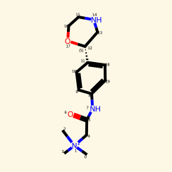 C[N+](C)(C)CC(=O)Nc1ccc([C@H]2CNCCO2)cc1